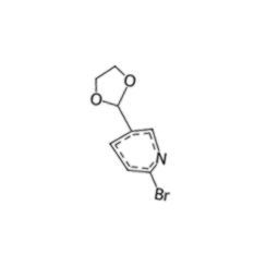 Brc1ccc(C2OCCO2)cn1